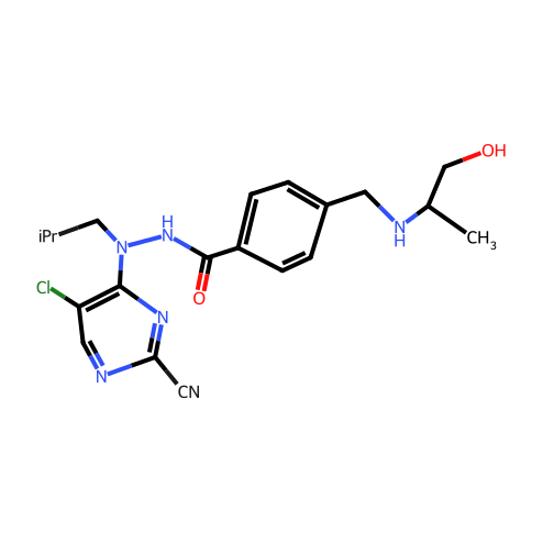 CC(C)CN(NC(=O)c1ccc(CNC(C)CO)cc1)c1nc(C#N)ncc1Cl